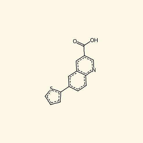 O=C(O)c1cnc2ccc(-c3cccs3)cc2c1